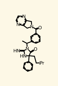 CC(C)CCC1(c2ccccc2)NC(=N)N(C(C)c2cccc(C(=O)N3Cc4nccnc4C3)c2)C1=O